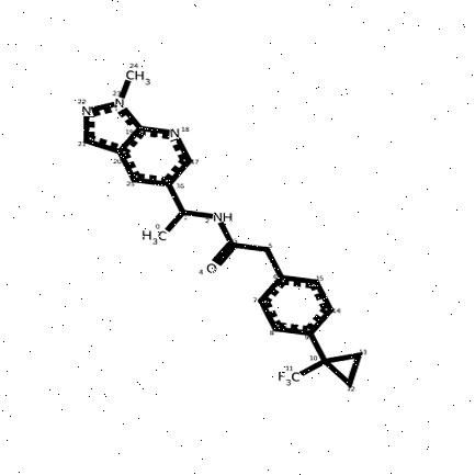 CC(NC(=O)Cc1ccc(C2(C(F)(F)F)CC2)cc1)c1cnc2c(cnn2C)c1